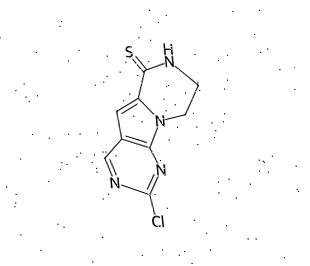 S=C1NCCn2c1cc1cnc(Cl)nc12